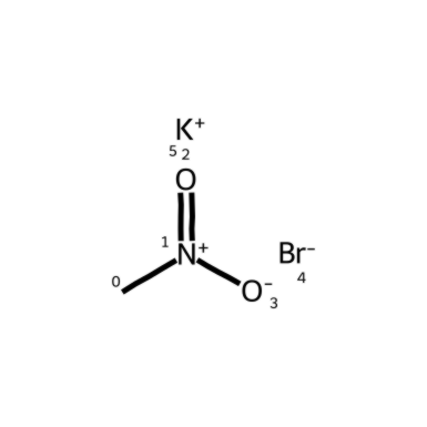 C[N+](=O)[O-].[Br-].[K+]